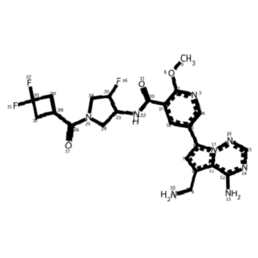 COc1ncc(-c2cc(CN)c3c(N)ncnn23)cc1C(=O)NC1CN(C(=O)C2CC(F)(F)C2)CC1F